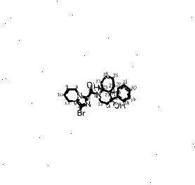 O=C(c1nc(Br)c2n1CCCC2)N1CC[C@](O)(c2ccccc2)[C@H]2CCCC[C@H]21